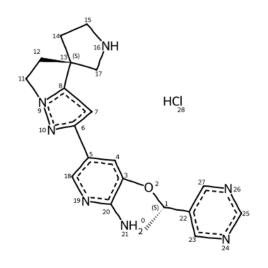 C[C@H](Oc1cc(-c2cc3n(n2)CC[C@]32CCNC2)cnc1N)c1cncnc1.Cl